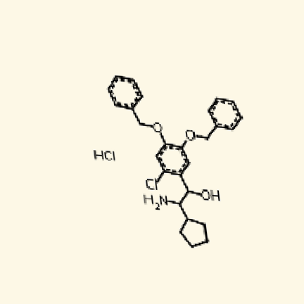 Cl.NC(C1CCCC1)C(O)c1cc(OCc2ccccc2)c(OCc2ccccc2)cc1Cl